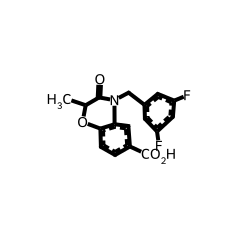 CC1Oc2ccc(C(=O)O)cc2N(Cc2cc(F)cc(F)c2)C1=O